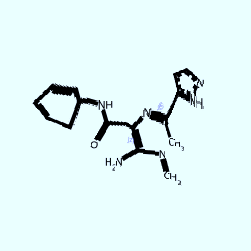 C=N/C(N)=C(\N=C(/C)c1ccn[nH]1)C(=O)NC1C=CC=CC1